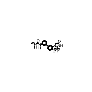 CCNC(=O)Nc1cccc(-c2ccc(O)c(N3CC(=O)NS3(=O)=O)c2)c1